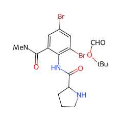 CC(C)(C)OC=O.CNC(=O)c1cc(Br)cc(Br)c1NC(=O)C1CCCN1